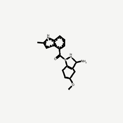 COC1CCC2=C(C1)C(N)NN2C(=O)c1cccc2[nH]c(C)cc12